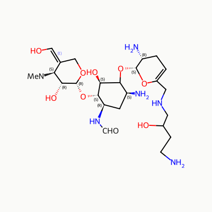 CN[C@H]1/C(=C\O)CO[C@H](O[C@H]2[C@H](NC=O)C[C@H](N)C(O[C@H]3OC(CNCC(O)CCN)=CC[C@H]3N)[C@@H]2O)[C@@H]1O